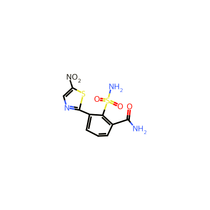 NC(=O)c1cccc(-c2ncc([N+](=O)[O-])s2)c1S(N)(=O)=O